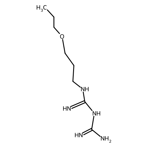 CCCOCCCNC(=N)NC(=N)N